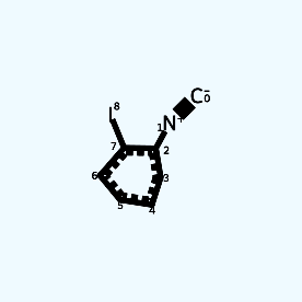 [C-]#[N+]c1ccccc1I